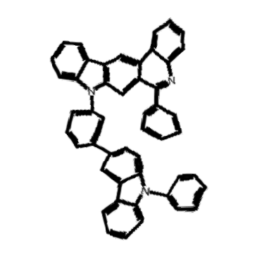 c1ccc(-c2nc3ccccc3c3cc4c5ccccc5n(-c5cccc(-c6ccc7c(c6)c6ccccc6n7-c6ccccc6)c5)c4cc23)cc1